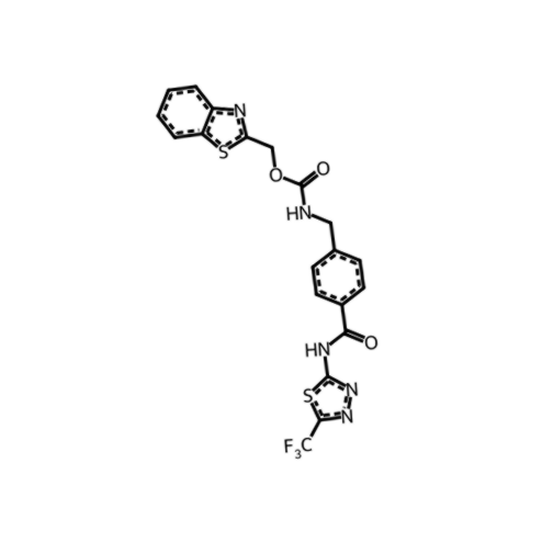 O=C(NCc1ccc(C(=O)Nc2nnc(C(F)(F)F)s2)cc1)OCc1nc2ccccc2s1